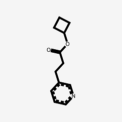 O=C(CCc1cccnc1)OC1CCC1